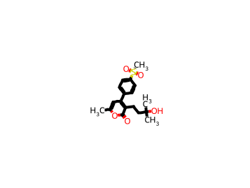 Cc1cc(-c2ccc(S(C)(=O)=O)cc2)c(CCC(C)(C)O)c(=O)o1